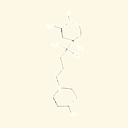 CCN1CCC(C)(C(C)(C)CCCN2CCC(C(C)(C)C)CC2)CC1C